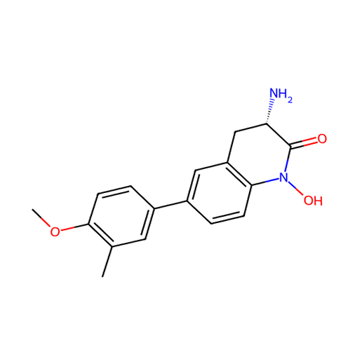 COc1ccc(-c2ccc3c(c2)C[C@H](N)C(=O)N3O)cc1C